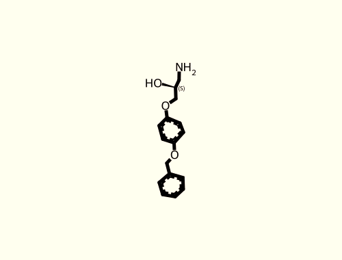 NC[C@H](O)COc1ccc(OCc2ccccc2)cc1